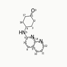 O=C1CCC(Nc2ccc3cccnc3n2)CC1